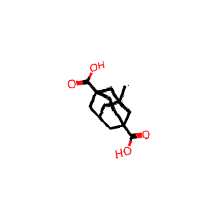 [CH2]C12CC3CC(C(=O)O)(C1)CC(C(=O)O)(C3)C2